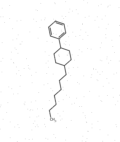 CCCCCCCC1CCC(c2cc[c]cc2)CC1